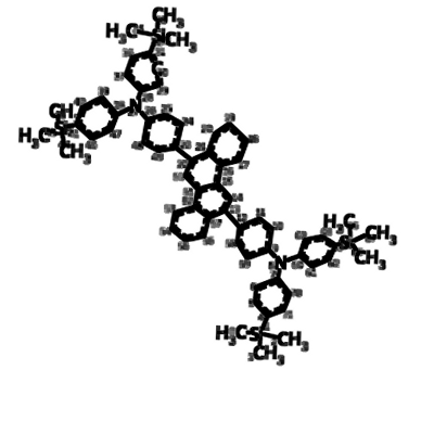 C[Si](C)(C)c1ccc(N(c2ccc(-c3cc4c5ccccc5c(-c5ccc(N(c6ccc([Si](C)(C)C)cc6)c6ccc([Si](C)(C)C)cc6)cc5)cc4c4ccccc34)cc2)c2ccc([Si](C)(C)C)cc2)cc1